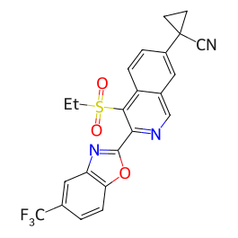 CCS(=O)(=O)c1c(-c2nc3cc(C(F)(F)F)ccc3o2)ncc2cc(C3(C#N)CC3)ccc12